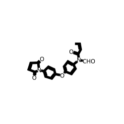 C/C=C\C(=O)N(C=O)c1ccc(Oc2ccc(N3C(=O)C=CC3=O)cc2)cc1